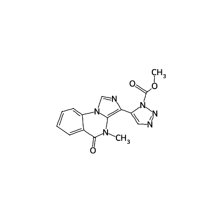 COC(=O)n1nncc1-c1ncn2c3ccccc3c(=O)n(C)c12